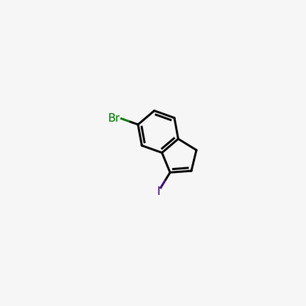 Brc1ccc2c(c1)C(I)=CC2